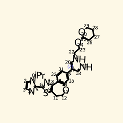 CC(C)n1ccnc1-c1nc2c(s1)CCOc1cc(/C(C=N)=C/NCCOC3CCCCO3)ccc1-2